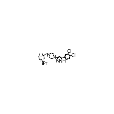 CC(C)N1CCOC(CN2CCN(c3cc(-c4ccc(Cl)c(Cl)c4)[nH]n3)CC2)C1